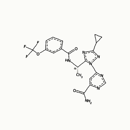 C[C@H](NC(=O)c1cccc(OC(F)(F)F)c1)c1nc(C2CC2)nn1-c1cc(C(N)=O)ncn1